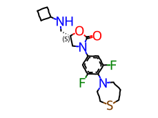 O=C1O[C@@H](CNC2CCC2)CN1c1cc(F)c(N2CCCSCC2)c(F)c1